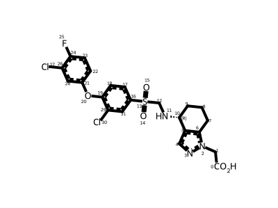 O=C(O)Cn1ncc2c1CCC[C@H]2NCS(=O)(=O)c1ccc(Oc2ccc(F)c(Cl)c2)c(Cl)c1